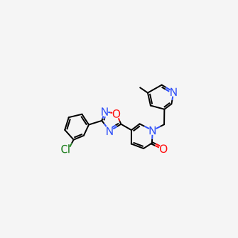 Cc1cncc(Cn2cc(-c3nc(-c4cccc(Cl)c4)no3)ccc2=O)c1